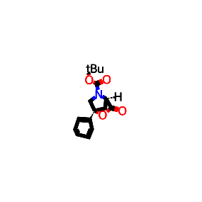 CC(C)(C)OC(=O)N1C[C@@]2(c3ccccc3)C[C@@H]1C(=O)O2